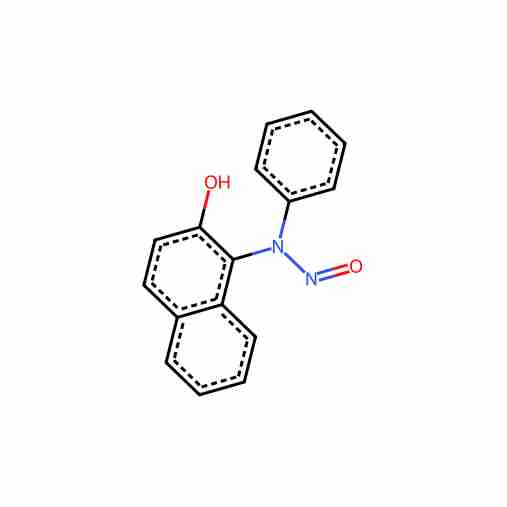 O=NN(c1ccccc1)c1c(O)ccc2ccccc12